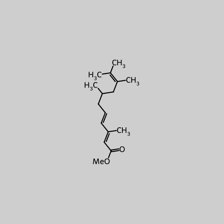 COC(=O)/C=C(C)/C=C/CC(C)CC(C)=C(C)C